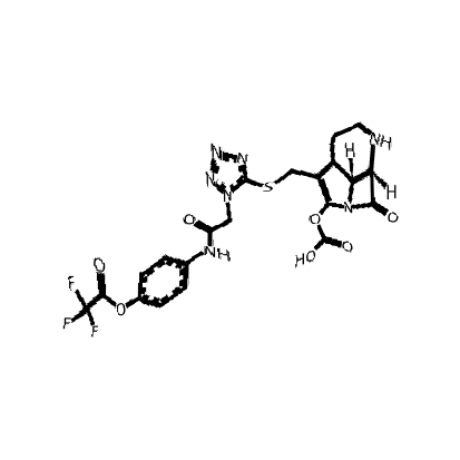 O=C(Cn1nnnc1SCC1=C(OC(=O)O)N2C(=O)[C@H]3NCCC1[C@H]32)Nc1ccc(OC(=O)C(F)(F)F)cc1